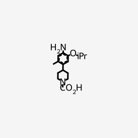 Cc1cc(N)c(OC(C)C)cc1C1CCN(C(=O)O)CC1